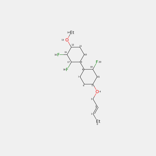 CCC=CCOC1CCC(C2CCC(OCC)C(F)C2F)C(F)C1